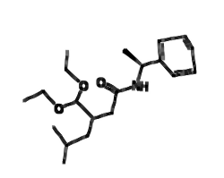 CCOC(OCC)C(CC(=O)N[C@@H](C)c1ccccc1)CC(C)C